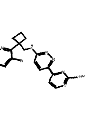 CCc1cccnc1C1(CNc2ccc(-c3ccnc(NC(C)=O)n3)nn2)CCC1